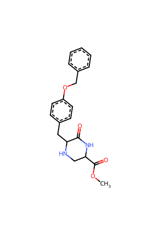 COC(=O)C1CNC(Cc2ccc(OCc3ccccc3)cc2)C(=O)N1